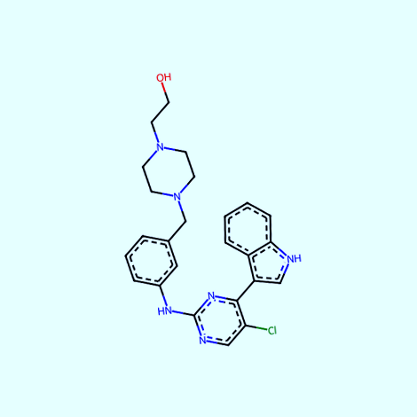 OCCN1CCN(Cc2cccc(Nc3ncc(Cl)c(-c4c[nH]c5ccccc45)n3)c2)CC1